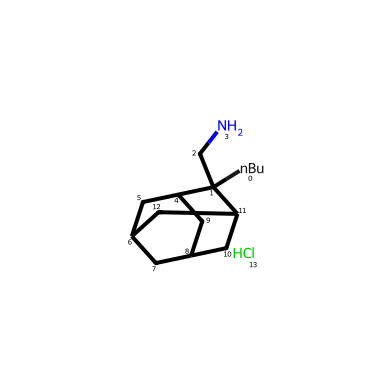 CCCCC1(CN)C2CC3CC(C2)CC1C3.Cl